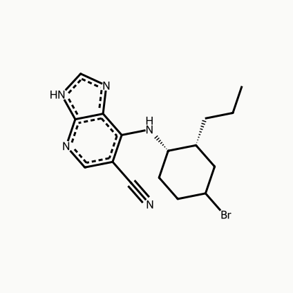 CCC[C@@H]1CC(Br)CC[C@@H]1Nc1c(C#N)cnc2[nH]cnc12